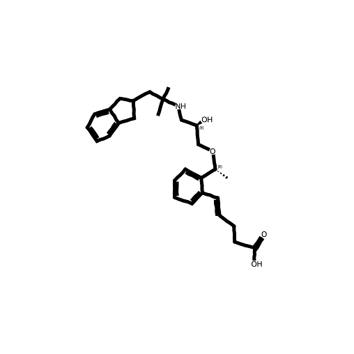 C[C@@H](OC[C@H](O)CNC(C)(C)CC1Cc2ccccc2C1)c1ccccc1C=CCCC(=O)O